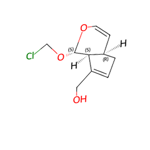 OCC1=CC[C@@H]2C=CO[C@@H](OCCl)[C@H]12